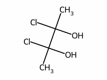 CC(O)(Cl)C(C)(O)Cl